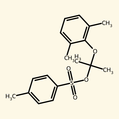 Cc1ccc(S(=O)(=O)OC(C)(C)Oc2c(C)cccc2C)cc1